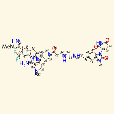 CN/C=C(\C=N)c1cc2c(cc1C(F)F)N(C(N)C1CN(C(C)=O)CCC1NC1CCN(C(=O)CCNCCNCCCc3ccc4c(c3)n(C)c(=O)n4C3CCC(=O)NC3=O)CC1)CCC2